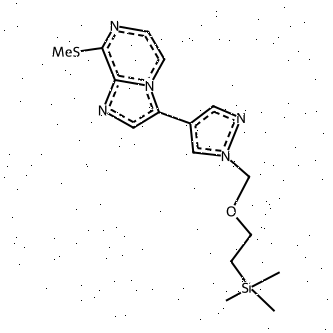 CSc1nccn2c(-c3cnn(COCC[Si](C)(C)C)c3)cnc12